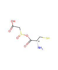 N[C@@H](CS)C(=O)OS(=O)CC(=O)O